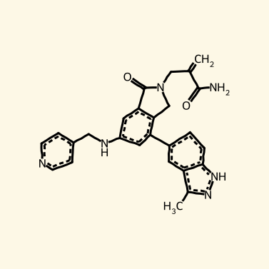 C=C(CN1Cc2c(cc(NCc3ccncc3)cc2-c2ccc3[nH]nc(C)c3c2)C1=O)C(N)=O